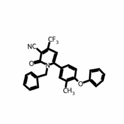 Cc1cc(-c2cc(C(F)(F)F)c(C#N)c(=O)n2Cc2ccccc2)ccc1Oc1ccccc1